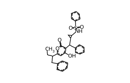 CCC(Cc1ccccc1)c1cc(O)c(C(c2ccccc2)C2CC2NS(=O)(=O)c2ccccc2)c(=O)o1